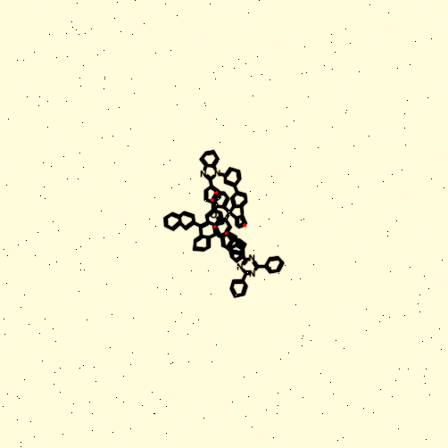 c1ccc(-c2nc(-c3ccccc3)nc(-c3ccc(-c4ccc5c(c4)C4(c6ccccc6O5)c5ccccc5-c5ccc(-c6cccc(-n7c(-c8ccc(-c9ccc%10c(-c%11ccc%12ccccc%12c%11)c%11ccccc%11c(-c%11ccc%12ccccc%12c%11)c%10c9)cc8)nc8ccccc87)c6)cc54)cc3)n2)cc1